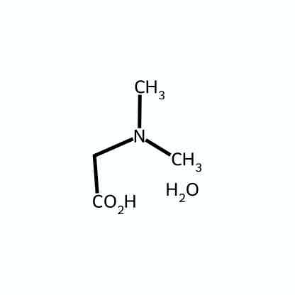 CN(C)CC(=O)O.O